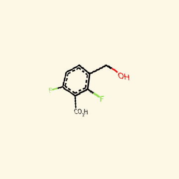 O=C(O)c1c(F)ccc(CO)c1F